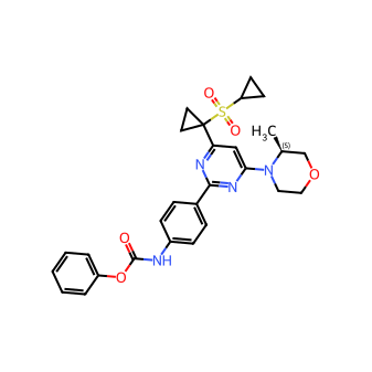 C[C@H]1COCCN1c1cc(C2(S(=O)(=O)C3CC3)CC2)nc(-c2ccc(NC(=O)Oc3ccccc3)cc2)n1